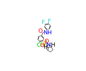 CC(C)N(C)[C@H]1C2CC[C@H]1C[C@H](S(=O)(=O)c1cc(C(=O)Nc3ccc(F)c(F)c3)ccc1Cl)C2